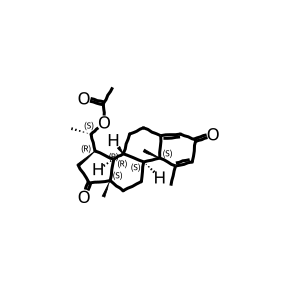 CC(=O)O[C@@H](C)[C@@H]1CC(=O)[C@@]2(C)CC[C@H]3[C@@H](CCC4=CC(=O)C=C(C)[C@@]43C)[C@H]12